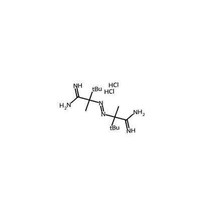 CC(C)(C)C(C)(/N=N/C(C)(C(=N)N)C(C)(C)C)C(=N)N.Cl.Cl